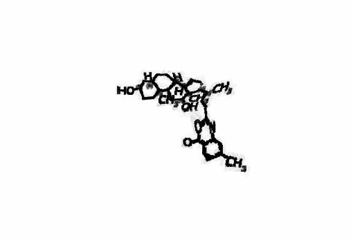 Cc1ccc2c(=O)oc(CC[C@@H](C)[C@H]3CC[C@H]4[C@@H]5CC[C@@H]6C[C@H](O)CC[C@]6(C)C5C[C@H](O)[C@]34C)nc2c1